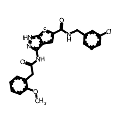 COc1ccccc1CC(=O)Nc1n[nH]c2sc(C(=O)NCc3cccc(Cl)c3)cc12